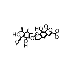 C=C(C)C1=C(/C(O)=C/OC)C(O)C2=C(C[C@]3(CCc4cc5cc(C(=O)OC)oc(=O)c5c(O)c4O3)O2)C1C